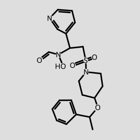 CC(OC1CCN(S(=O)(=O)CC(c2cccnc2)N(O)C=O)CC1)c1ccccc1